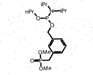 CCCOP(OCc1cccc(CP(=O)(OC)OC)c1)N(C(C)C)C(C)C